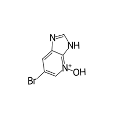 O[n+]1cc(Br)cc2nc[nH]c21